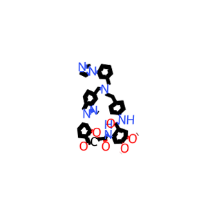 COc1cc(NC(=O)c2cc(=O)c3ccccc3o2)c(C(=O)Nc2ccc(CCN(Cc3cccc(-n4ccnc4)c3)Cc3ccc4cnn(C)c4c3)cc2)cc1OC